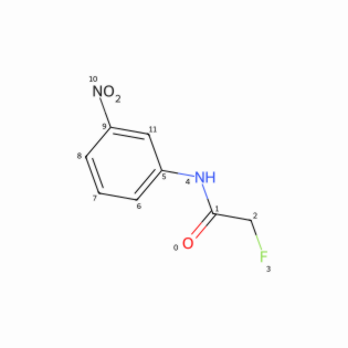 O=C(CF)Nc1cccc([N+](=O)[O-])c1